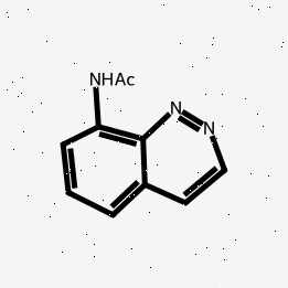 CC(=O)Nc1cccc2ccnnc12